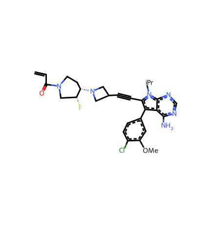 C=CC(=O)N1CC[C@H](N2CC(C#Cc3c(-c4ccc(Cl)c(OC)c4)c4c(N)ncnc4n3C(C)C)C2)[C@H](F)C1